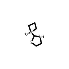 [O-][N+]1(C2NCCS2)CCC1